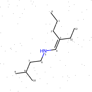 CCC/C(=C\NCCC(C)C)CC